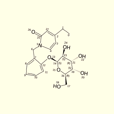 CCc1ccn(Cc2ccccc2O[C@@H]2O[C@H](CO)[C@@H](O)[C@@H](O)[C@@H]2O)c(=O)c1